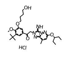 CCC(CC)Oc1cc(C)c2nn(CC(=O)c3cc(OCCCCO)c(OC)c(C(C)(C)C)c3)c(=N)n2n1.Cl